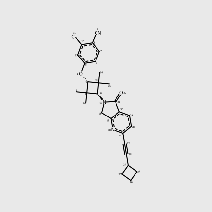 CC1(C)[C@H](Oc2ccc(C#N)c(Cl)c2)C(C)(C)[C@H]1N1Cc2nc(C#CC3CCC3)ccc2C1=O